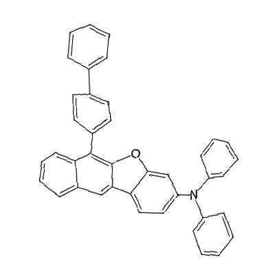 c1ccc(-c2ccc(-c3c4ccccc4cc4c3oc3cc(N(c5ccccc5)c5ccccc5)ccc34)cc2)cc1